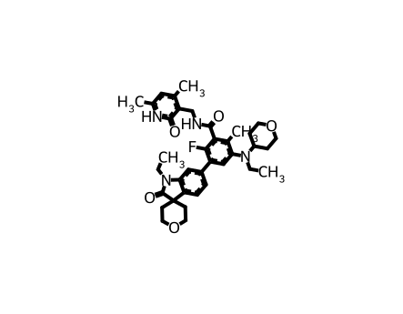 CCN1C(=O)C2(CCOCC2)c2ccc(-c3cc(N(CC)C4CCOCC4)c(C)c(C(=O)NCc4c(C)cc(C)[nH]c4=O)c3F)cc21